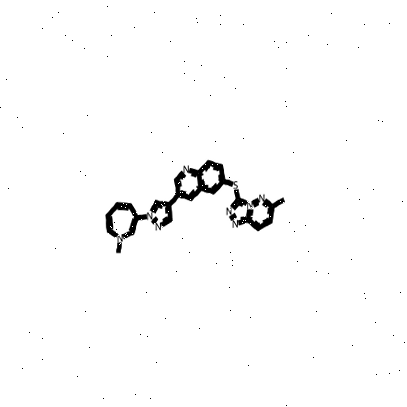 Cc1ccc2nnc(Sc3ccc4ncc(-c5cnn(C6=CN(C)C=CC=C6)c5)cc4c3)n2n1